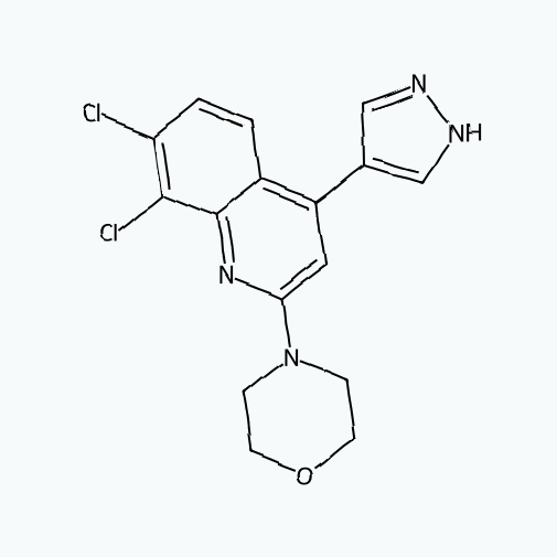 Clc1ccc2c(-c3cn[nH]c3)cc(N3CCOCC3)nc2c1Cl